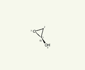 O[C@@H]1CO1